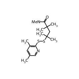 CNC(=O)C(C)(C)CC(C)(C)SSc1ncc(C)cc1C